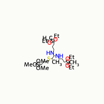 CCO[Si](C)(CCCNC(NCCC[Si](C)(OCC)OCC)C(C)SCCC[Si](OC)(OC)OC)OCC